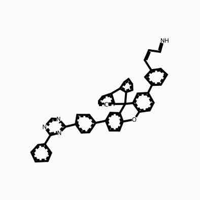 N=C/C=C\c1cccc(-c2ccc3c(c2)C2(c4cc(-c5ccc(-c6ncnc(-c7ccccc7)n6)cc5)ccc4O3)c3ccccc3-c3ccccc32)c1